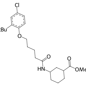 COC(=O)C1CCCC(NC(=O)CCCCOc2ccc(Cl)cc2C(C)(C)C)C1